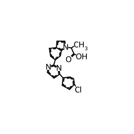 CC(C(=O)O)n1ccc2ccc(-c3nccc(-c4ccc(Cl)cc4)n3)cc21